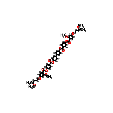 COc1cc(OCCCC(C)OC)ccc1C(=O)Oc1ccc(C(=O)Oc2ccc(-c3ccc(OC(=O)c4ccc(OC(=O)c5ccc(OCCCC(C)OC)cc5OC)cc4)cc3)cc2)cc1